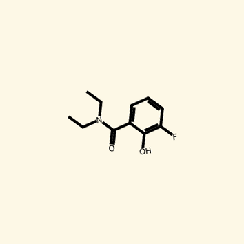 CCN(CC)C(=O)c1cccc(F)c1O